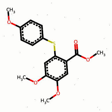 COC(=O)c1cc(OC)c(OC)cc1Sc1ccc(OC)cc1